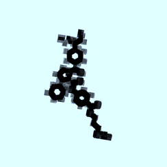 COCCCOC(=O)c1ccc(NC(=O)[C@@H]2[C@H](C3CCCCC3)CCN2C(=O)[C@H]2CC[C@H]([C@H](N)CF)CC2)cc1